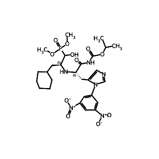 COP(=O)(OC)C(O)[C@H](CC1CCCCC1)N[C@@H](Cc1cncn1-c1cc([N+](=O)[O-])cc([N+](=O)[O-])c1)C(=O)NC(=O)OC(C)C